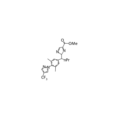 CCCC(c1cc(C)c(-n2cc(C(F)(F)F)cn2)c(C)c1)C1N=CC(C(=O)OC)=N1